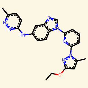 CCOc1cc(C)n(-c2[c]ccc(-n3cnc4cc(Nc5ccc(C)nn5)ccc43)n2)n1